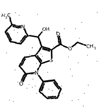 CCOC(=O)c1sc2c(ccc(=O)n2-c2ccccc2)c1C(O)c1cccc(C)n1